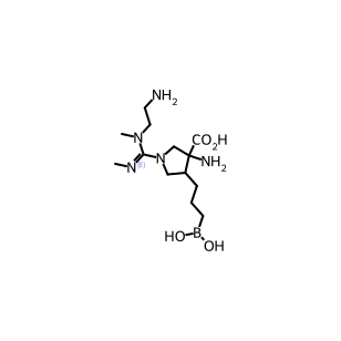 C/N=C(\N(C)CCN)N1CC(CCCB(O)O)C(N)(C(=O)O)C1